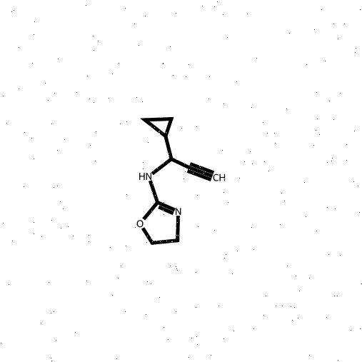 C#CC(NC1=NCCO1)C1CC1